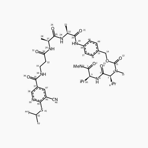 CNC(=O)[C@@H](NC(=O)[C@H](C(C)C)N(C)C(=O)OCc1ccc(NC(=O)[C@H](C)NC(=O)[C@H](C)NC(=O)CCNC(=O)c2cnc(SC(C)I)c(C#N)c2)cc1)C(C)C